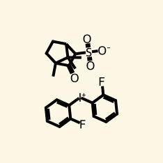 CC12CCC(C(S(=O)(=O)[O-])C1=O)C2(C)C.Fc1ccccc1[I+]c1ccccc1F